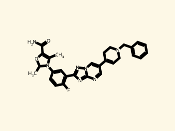 CC1=C(C(N)=O)OC(C)N1c1ccc(F)c(-c2nc3ncc(C4=CCN(Cc5ccccc5)CC4)cn3n2)c1